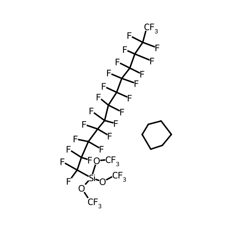 C1CCCCC1.FC(F)(F)O[Si](OC(F)(F)F)(OC(F)(F)F)C(F)(F)C(F)(F)C(F)(F)C(F)(F)C(F)(F)C(F)(F)C(F)(F)C(F)(F)C(F)(F)C(F)(F)C(F)(F)C(F)(F)F